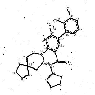 C=C(NC1CCCC1)c1nc(-c2cccc(Cl)c2Cl)c(C)nc1N1CCC2(CCCC2)CC1